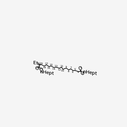 CCCCCCCOC(=O)CCCCCCCCCCCCCCCCC(CC)C(=O)OCCCCCCC